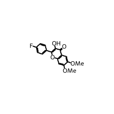 COc1cc2oc(-c3ccc(F)cc3)c(O)c(=O)c2cc1OC